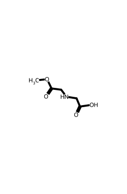 COC(=O)CNCC(=O)O